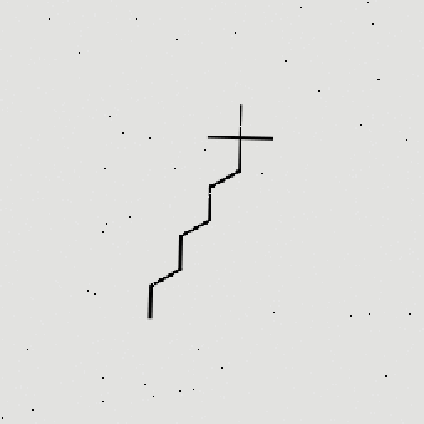 CCCCCCCC(C)(C)C